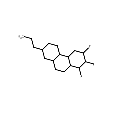 CCCC1CCC2C(CCC3C(F)C(F)C(F)CC23)C1